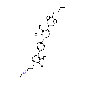 C/C=C/CCc1ccc(-c2ccc(-c3ccc(C4COC(CCCC)OC4)c(F)c3F)cc2)c(F)c1F